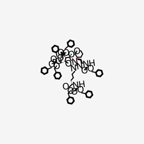 O=C(Nc1ccn([C@@H]2O[C@H](COP(=O)(OCc3ccccc3)OCc3ccccc3)[C@@H](P(=O)(OCc3ccccc3)OCc3ccccc3)[C@H]2OC2CCCCO2)/c(=N/CCCC[C@H](NC(=O)OCc2ccccc2)C(=O)OCc2ccccc2)n1)OCc1ccccc1